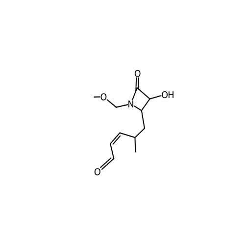 COCN1C(=O)C(O)C1CC(C)/C=C\C=O